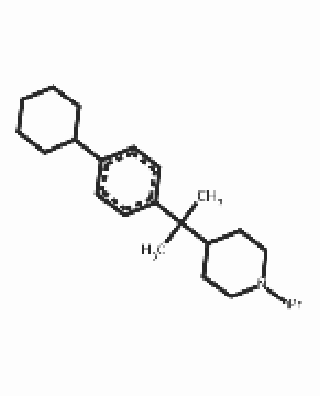 CC(C)N1CCC(C(C)(C)c2ccc(C3CCCCC3)cc2)CC1